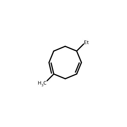 CCC1C=CCC(C)=CCC1